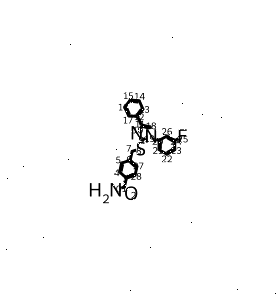 NC(=O)c1ccc(CSc2nc(-c3ccccc3)cn2-c2cccc(F)c2)cc1